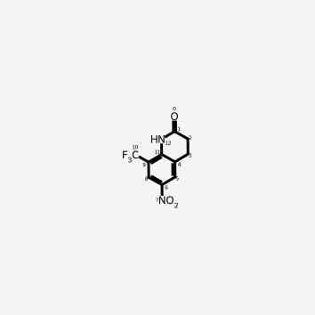 O=C1CCc2cc([N+](=O)[O-])cc(C(F)(F)F)c2N1